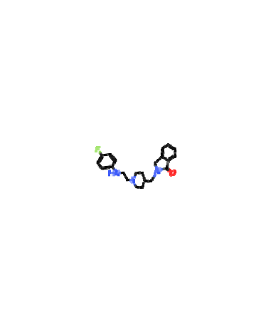 O=C1c2ccccc2CN1CC1CCN(CCNc2ccc(F)cc2)CC1